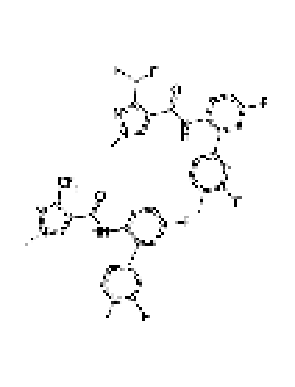 Cc1ccc(-c2cc(F)ccc2NC(=O)c2cn(C)nc2C(F)(F)F)cc1F.Cc1ccc(-c2cc(F)ccc2NC(=O)c2cn(C)nc2C(F)F)cc1F